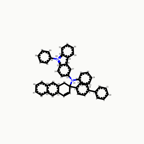 C1=CC(c2ccc(-c3ccccc3)cc2)(N(c2ccccc2)c2ccc3c(c2)c2ccccc2n3-c2ccccc2)Cc2cc3ccccc3cc21